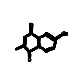 CCCCc1ccc2c(c1)C(=O)C=C(C)C2=O